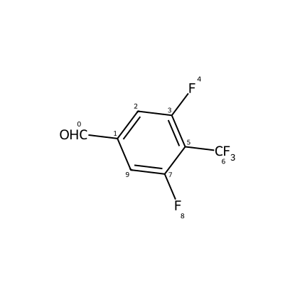 O=Cc1cc(F)c(C(F)(F)F)c(F)c1